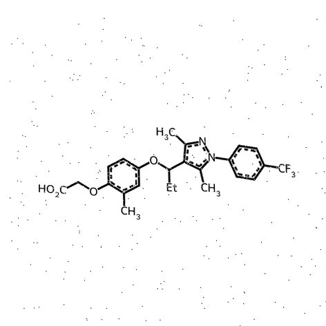 CCC(Oc1ccc(OCC(=O)O)c(C)c1)c1c(C)nn(-c2ccc(C(F)(F)F)cc2)c1C